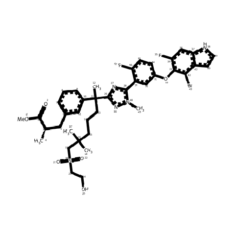 COC(=O)[C@H](C)Cc1cccc(C(C)(CCCC(C)(C)CS(=O)(=O)CCO)c2nc(-c3cc(Oc4c(F)cc5[nH]ccc5c4Br)ccc3F)n(C)n2)c1